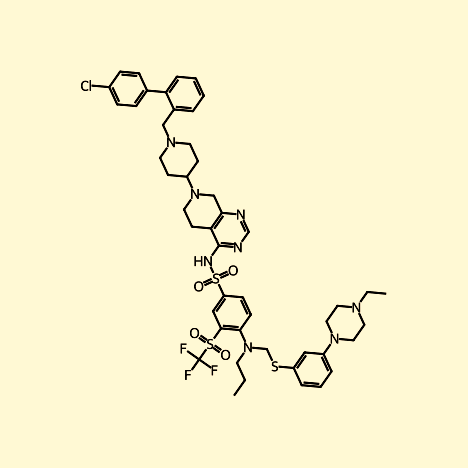 CCCN(CSc1cccc(N2CCN(CC)CC2)c1)c1ccc(S(=O)(=O)Nc2ncnc3c2CCN(C2CCN(Cc4ccccc4-c4ccc(Cl)cc4)CC2)C3)cc1S(=O)(=O)C(F)(F)F